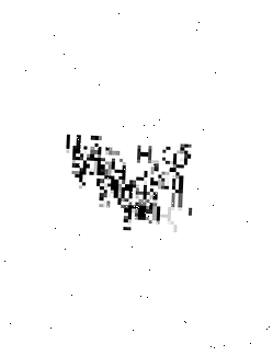 CCC(CC)CNC(=S)[S-].CCC(CC)CNC(=S)[S-].CCC(CC)CNC(=S)[S-].CCC(CC)CNC(=S)[S-].O=S.[Mo+4]